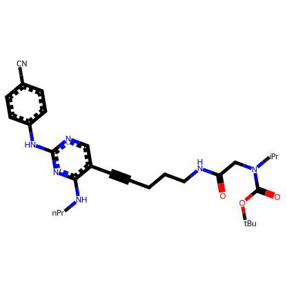 CCCNc1nc(Nc2ccc(C#N)cc2)ncc1C#CCCCNC(=O)CN(C(=O)OC(C)(C)C)C(C)C